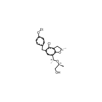 CCOc1ccc(Cc2cc([C@@H](C)O[C@@H](C)CO)c3c(c2Cl)C[C@H](C)O3)cc1